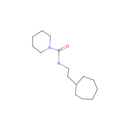 O=C([N]CCC1CCCCCC1)N1CCCCC1